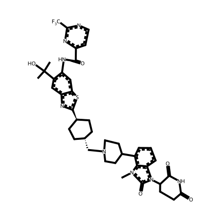 Cn1c(=O)n(C2CCC(=O)NC2=O)c2cccc(C3CCN(C[C@H]4CC[C@H](c5nc6cc(C(C)(C)O)c(NC(=O)c7ccnc(C(F)(F)F)n7)cc6s5)CC4)CC3)c21